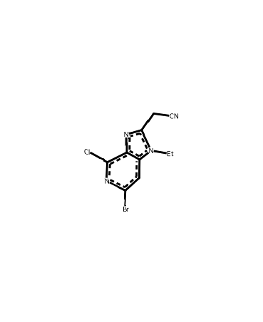 CCn1c(CC#N)nc2c(Cl)nc(Br)cc21